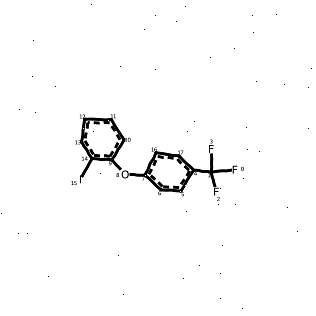 FC(F)(F)c1ccc(Oc2ccccc2I)cc1